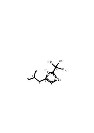 CC(C)Cc1cnc(C(F)(F)F)s1